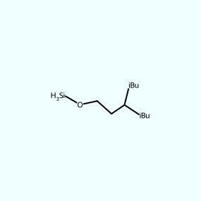 CCC(C)C(CCO[SiH3])C(C)CC